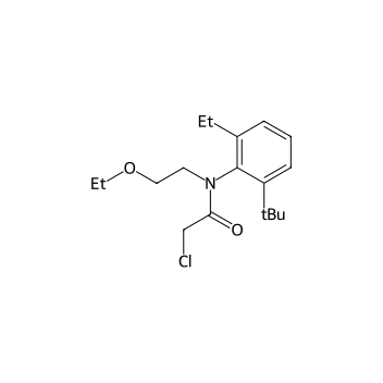 CCOCCN(C(=O)CCl)c1c(CC)cccc1C(C)(C)C